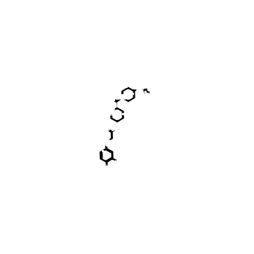 O=C(COc1ccc(Cl)c(F)c1)N[C@H]1CC[C@H](C(=O)N2CCC(OC(F)(F)F)CC2)OC1